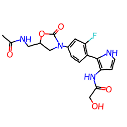 CC(=O)NCC1CN(c2ccc(-c3[nH]ccc3NC(=O)CO)c(F)c2)C(=O)O1